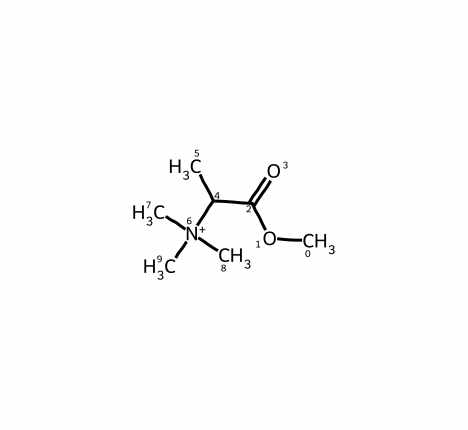 COC(=O)C(C)[N+](C)(C)C